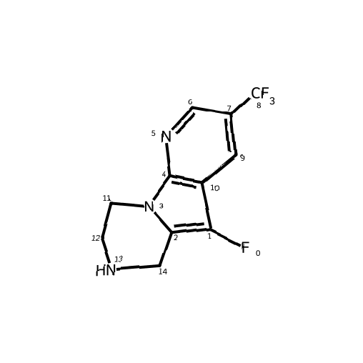 Fc1c2n(c3ncc(C(F)(F)F)cc13)CCNC2